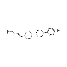 FCC/C=C/[C@H]1CC[C@H](C2CCC(c3ccc(F)cc3)CC2)CC1